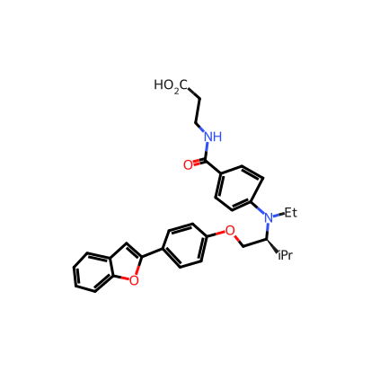 CCN(c1ccc(C(=O)NCCC(=O)O)cc1)[C@H](COc1ccc(-c2cc3ccccc3o2)cc1)C(C)C